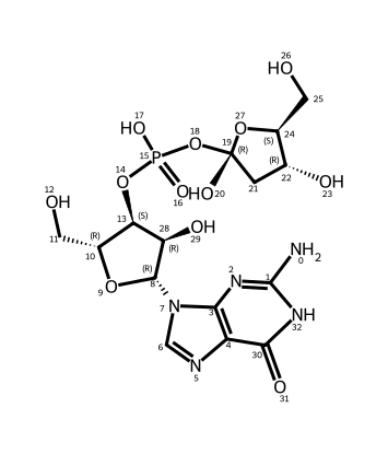 Nc1nc2c(ncn2[C@@H]2O[C@H](CO)[C@@H](OP(=O)(O)O[C@@]3(O)C[C@@H](O)[C@H](CO)O3)[C@H]2O)c(=O)[nH]1